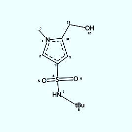 Cn1cc(S(=O)(=O)NC(C)(C)C)cc1CO